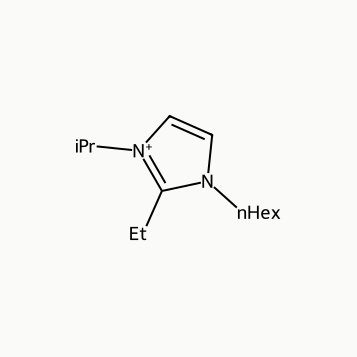 CCCCCCn1cc[n+](C(C)C)c1CC